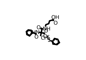 CCC(NC(=O)c1ccccc1)(C(=O)NCCCC(=O)O)C(=O)OSSc1ccccc1